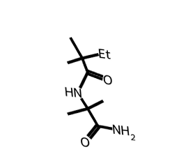 CCC(C)(C)C(=O)NC(C)(C)C(N)=O